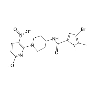 COc1ccc([N+](=O)[O-])c(N2CCC(NC(=O)c3cc(Br)c(C)[nH]3)CC2)n1